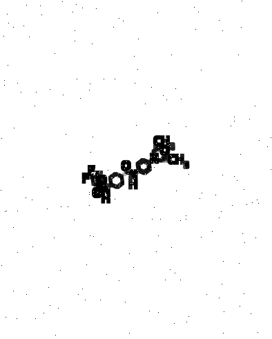 C[C@@H]1CN(c2ccc(NC(=O)[C@H]3CC[C@H](NS(=O)(=O)CC(F)(F)F)CC3)cc2)C[C@H](C)O1